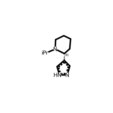 CC(C)N1CCCC[C@@H]1c1cn[nH]c1